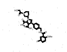 COc1ccc(F)cc1C(=O)NCc1ccc(-c2cn(C3CCCN(C(=O)CO)C3)c3c(=O)[nH]nc(N)c23)cc1